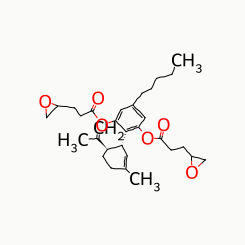 C=C(C)[C@@H]1CCC(C)=C[C@H]1c1c(OC(=O)CCC2CO2)cc(CCCCC)cc1OC(=O)CCC1CO1